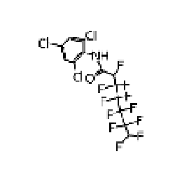 O=C(Nc1c(Cl)cc(Cl)cc1Cl)C(F)C(F)(F)C(F)(F)C(F)(F)C(F)(F)C(F)F